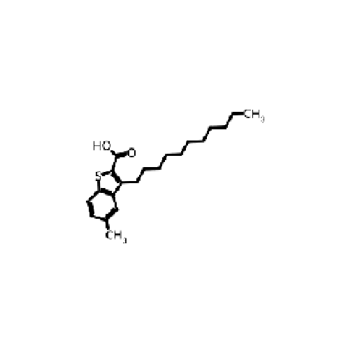 CCCCCCCCCCCc1c(C(=O)O)sc2ccc(C)cc12